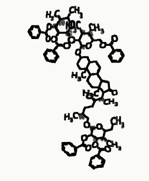 CCC1O[C@@H](OC[C@@H](C)CCC(=O)[C@@H](C)C2C(=O)CC3C4CCC5CC(O[C@@H]6OC(COC(=O)c7ccccc7)[C@@H](C)[C@H](C)C6O[C@@H]6OC(C)[C@H](C)[C@H](OC(=O)c7ccccc7)C6OC(=O)c6ccccc6)CCC5(C)C4CCC32C)C(OC(=O)c2ccccc2)[C@@H](OC(=O)c2ccccc2)[C@@H]1C